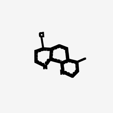 Cc1ccnc2c1ccc1c(Cl)ccnc12